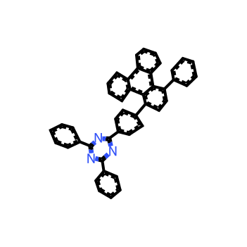 c1ccc(-c2nc(-c3ccccc3)nc(-c3ccc(-c4ccc(-c5ccccc5)c5c6ccccc6c6ccccc6c45)cc3)n2)cc1